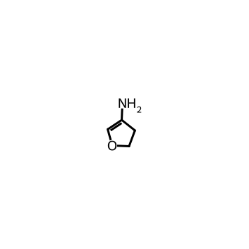 NC1=COCC1